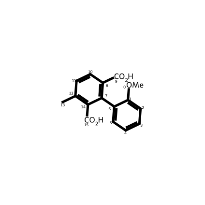 COc1ccccc1-c1c(C(=O)O)ccc(C)c1C(=O)O